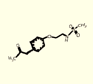 CC(=O)Cc1ccc(OCCNS(C)(=O)=O)cc1